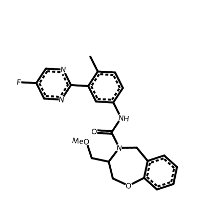 COCC1COc2ccccc2CN1C(=O)Nc1ccc(C)c(-c2ncc(F)cn2)c1